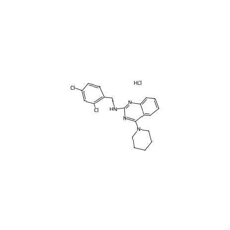 Cl.Clc1ccc(CNc2nc(N3CCCCC3)c3ccccc3n2)c(Cl)c1